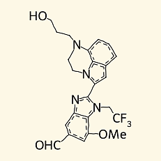 COc1cc(C=O)cc2nc(-c3cc4cccc5c4n3CCN5CCCO)n(CC(F)(F)F)c12